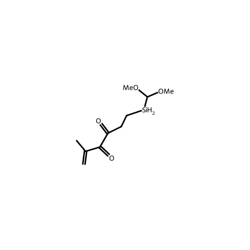 C=C(C)C(=O)C(=O)CC[SiH2]C(OC)OC